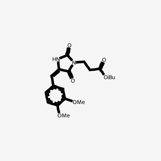 COc1ccc(C=C2NC(=O)N(CCC(=O)OCC(C)C)C2=O)cc1OC